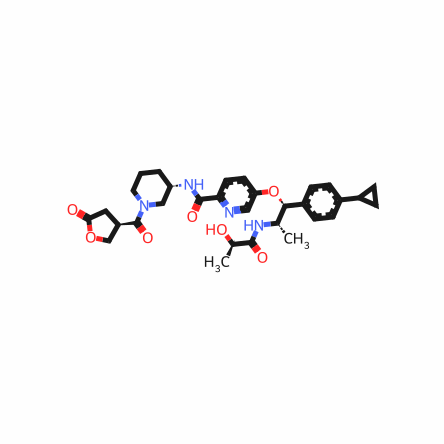 C[C@H](NC(=O)[C@@H](C)O)[C@H](Oc1ccc(C(=O)N[C@H]2CCCN(C(=O)[C@H]3COC(=O)C3)C2)nc1)c1ccc(C2CC2)cc1